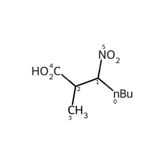 CCCCC(C(C)C(=O)O)[N+](=O)[O-]